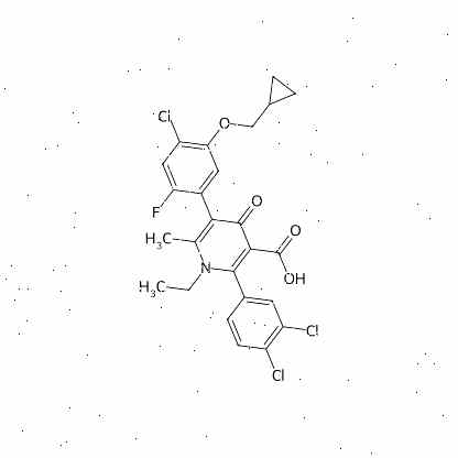 CCn1c(C)c(-c2cc(OCC3CC3)c(Cl)cc2F)c(=O)c(C(=O)O)c1-c1ccc(Cl)c(Cl)c1